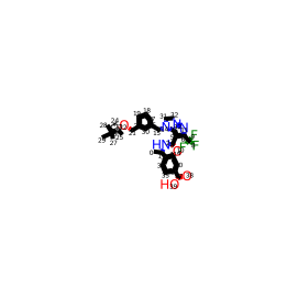 CC(NC(=O)c1c(C(F)(F)F)nn2c1N(Cc1cccc(CO[Si](C)(C)C(C)(C)C)c1)CC2)c1ccc(C(=O)O)cc1